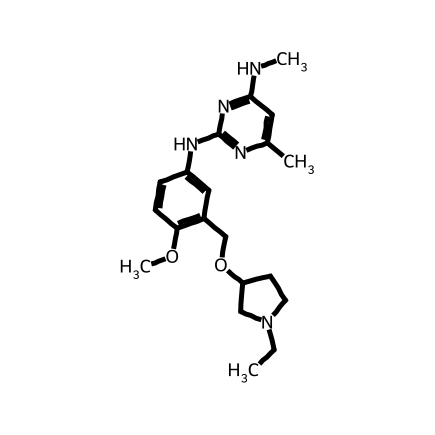 CCN1CCC(OCc2cc(Nc3nc(C)cc(NC)n3)ccc2OC)C1